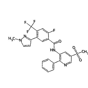 Cn1ccc(-c2cc(C(=O)Nc3cc(S(C)(=O)=O)cnc3-c3ccccc3)c(F)cc2C(F)(F)F)n1